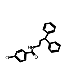 O=C(NCCC(c1ccccc1)c1ccccc1)c1ccc(Cl)cc1